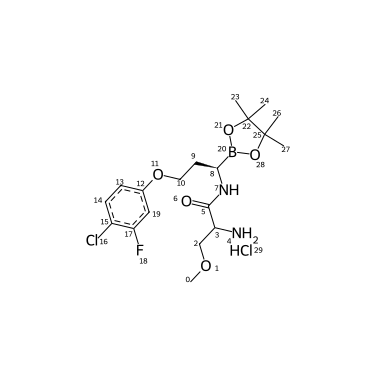 COCC(N)C(=O)N[C@@H](CCOc1ccc(Cl)c(F)c1)B1OC(C)(C)C(C)(C)O1.Cl